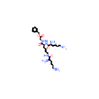 NCCCCC(N)C(=O)NCCCCC(NC(=O)C(N)CCCCN)C(=O)NCC(=O)OCc1ccccc1